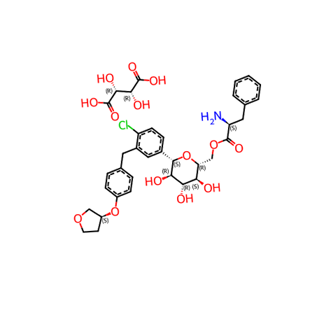 N[C@@H](Cc1ccccc1)C(=O)OC[C@H]1O[C@@H](c2ccc(Cl)c(Cc3ccc(O[C@H]4CCOC4)cc3)c2)[C@H](O)[C@@H](O)[C@@H]1O.O=C(O)[C@H](O)[C@@H](O)C(=O)O